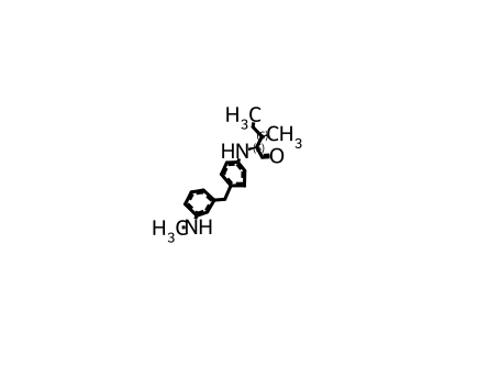 CC[C@H](C)[C@@H](C=O)Nc1ccc(Cc2cccc(NC)c2)cc1